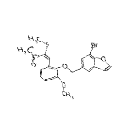 COc1cccc(C=C(SC)[S+](C)[O-])c1OCc1cc(Br)c2occc2c1